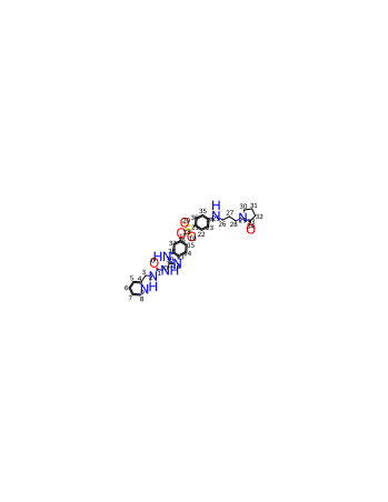 O=C(NCc1ccccn1)Nc1nc2ccc(OS(=O)(=O)c3ccc(NCCCN4CCCC4=O)cc3)cc2[nH]1